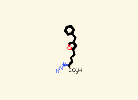 [N-]=[N+]=NC(=CCCc1cc(Cc2ccccc2)co1)C(=O)O